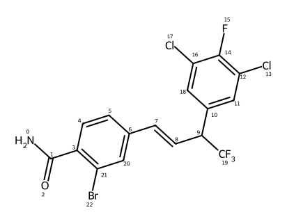 NC(=O)c1ccc(/C=C/C(c2cc(Cl)c(F)c(Cl)c2)C(F)(F)F)cc1Br